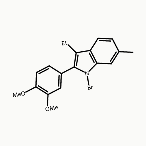 CCc1c(-c2ccc(OC)c(OC)c2)n(Br)c2cc(C)ccc12